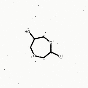 OC1COCC(O)OC1